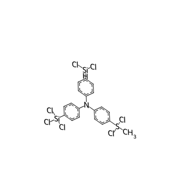 CS(Cl)(Cl)c1ccc(N(c2ccc([SiH](Cl)Cl)cc2)c2ccc([Si](Cl)(Cl)Cl)cc2)cc1